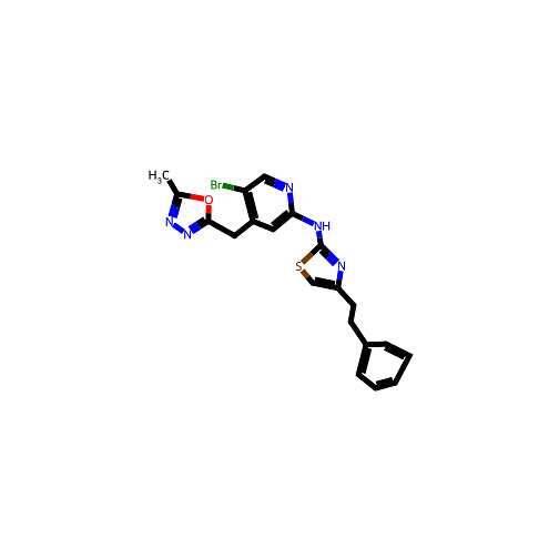 Cc1nnc(Cc2cc(Nc3nc(CCc4ccccc4)cs3)ncc2Br)o1